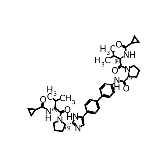 CC(C)[C@@H](NC(=O)C1CC1)C(=O)N1CCC[C@H]1C(=O)Nc1ccc(-c2ccc(-c3cnc([C@@H]4CCCN4C(=O)[C@H](NC(=O)C4CC4)C(C)C)[nH]3)cc2)cc1